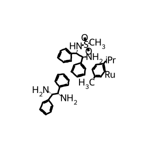 CS(=O)(=O)N[C@@H](c1ccccc1)[C@@H](N)c1ccccc1.Cc1ccc(C(C)C)cc1.N[C@@H](c1ccccc1)[C@@H](N)c1ccccc1.[Ru]